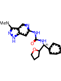 CNc1n[nH]c2cc(NC(=O)N[C@H](c3ccccc3)C3CCCO3)ncc12